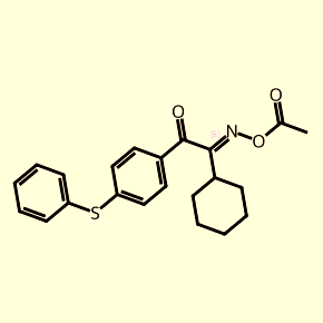 CC(=O)O/N=C(/C(=O)c1ccc(Sc2ccccc2)cc1)C1CCCCC1